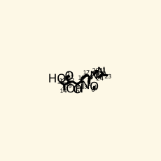 COc1nc(C(=O)CC(O)(C(=O)O)C(C)C)ccc1-n1cnc(C)c1